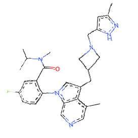 Cc1cc(CN2CC(Cc3cn(-c4ccc(F)cc4C(=O)N(C)C(C)C)c4cncc(C)c34)C2)[nH]n1